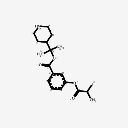 CC(I)C(=O)Oc1cccc(C(=O)OC(C)(C)C2CCNCC2)c1